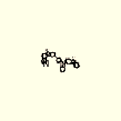 c1ccc(N(c2ccc(-c3ccc4sc5ccc6ccncc6c5c4c3)cc2)c2ccc3sc4ccccc4c3c2)cc1